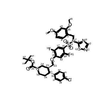 COc1ccc(CN(c2ncns2)S(=O)(=O)c2cc(F)c(OC[C@@H]3CN(C(=O)OC(C)(C)C)CC[C@H]3c3ccc(Cl)cc3)cc2F)c(OC)c1